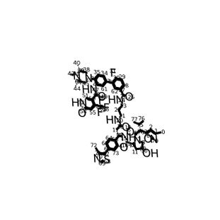 Cc1cc([C@H](C(=O)N2C[C@H](O)C[C@H]2C(=O)N[C@@H](CC(=O)NCCCNC(=O)c2ccc(F)c(-c3ccc(N4C[C@@H](C)N(C)[C@@H](C)C4)c(NC(=O)c4c[nH]c(=O)cc4C(F)(F)F)c3)c2)c2ccc(-c3scnc3C)cc2)C(C)C)on1